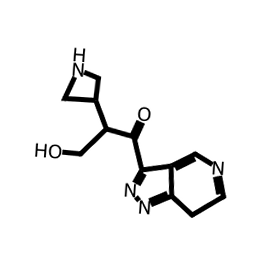 O=C(C1=NN=C2CC=NC=C21)C(CO)C1CNC1